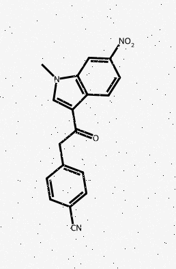 Cn1cc(C(=O)Cc2ccc(C#N)cc2)c2ccc([N+](=O)[O-])cc21